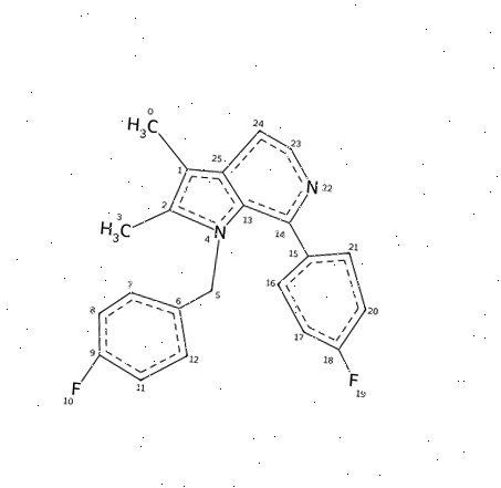 Cc1c(C)n(Cc2ccc(F)cc2)c2c(-c3ccc(F)cc3)nccc12